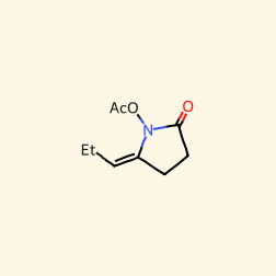 CCC=C1CCC(=O)N1OC(C)=O